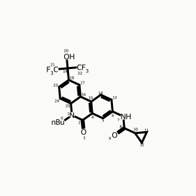 CCCCn1c(=O)c2cc(NC(=O)C3CC3)ccc2c2cc(C(O)(C(F)(F)F)C(F)(F)F)ccc21